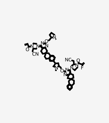 C=CC(=O)N1CCN(c2nc(OCC3CCCN3C)nc3c2CCC2(CCc4cc(C5CC(COc6nc7c(c(N8CCN(C(=O)C(=C)F)C(CC#N)C8)n6)CCC6(CCc8ccccc8C6)C7)N(C)C5)ccc4C2)C3)CC1CC#N